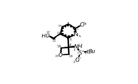 CC(C)(C)[S+]([O-])NC1(c2nc(Cl)ccc2CO)COC1